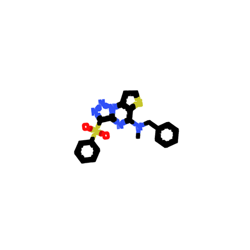 CN(Cc1ccccc1)c1nc2c(S(=O)(=O)c3ccccc3)nnn2c2ccsc12